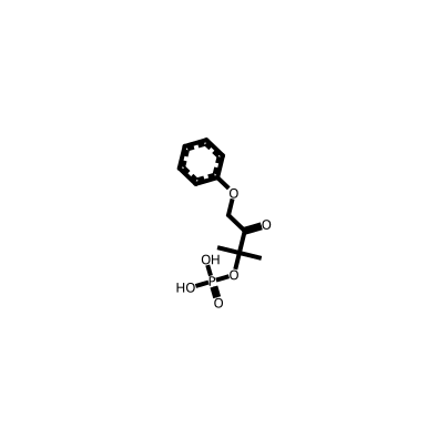 CC(C)(OP(=O)(O)O)C(=O)COc1ccccc1